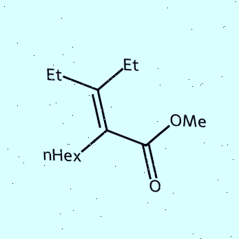 CCCCCCC(C(=O)OC)=C(CC)CC